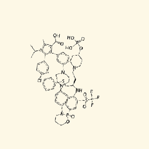 Cc1c(C(=O)O)c(-c2cccc(N3CCN(c4ccc(N5CCCO[P@@]5(=O)c5ccc(N[C@H](CCN6CCC(OP(=O)(O)O)CC6)CSc6ccccc6)c(S(=O)(=O)C(F)(F)F)c5)cc4)CC3)c2)c(-c2ccc(Cl)cc2)n1C(C)C